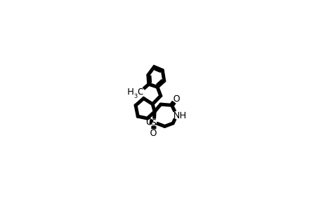 Cc1ccccc1CC1CCCCC12CC(=O)NCCS2(=O)=O